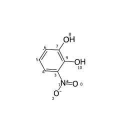 O=[N+]([O-])c1cc[c]c(O)c1O